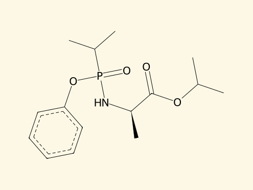 CC(C)OC(=O)[C@@H](C)NP(=O)(Oc1ccccc1)C(C)C